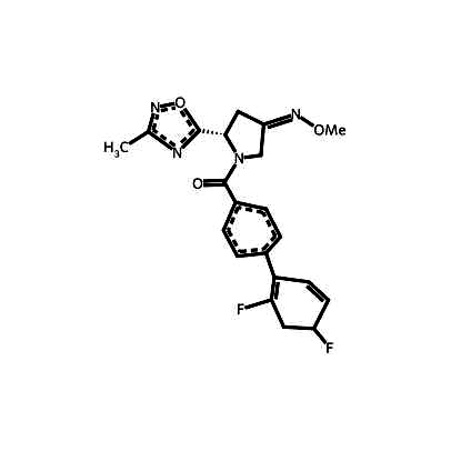 CO/N=C1/C[C@@H](c2nc(C)no2)N(C(=O)c2ccc(C3=C(F)CC(F)C=C3)cc2)C1